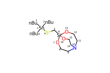 CCC[CH2][Sn]([CH2]CCC)([CH2]CCC)[S]C[Si]12OCCN(CCO1)CCO2